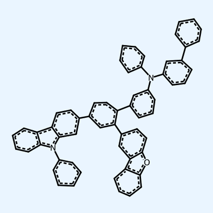 c1ccc(-c2cccc(N(c3ccccc3)c3cccc(-c4ccc(-c5ccc6c7ccccc7n(-c7ccccc7)c6c5)cc4-c4ccc5oc6ccccc6c5c4)c3)c2)cc1